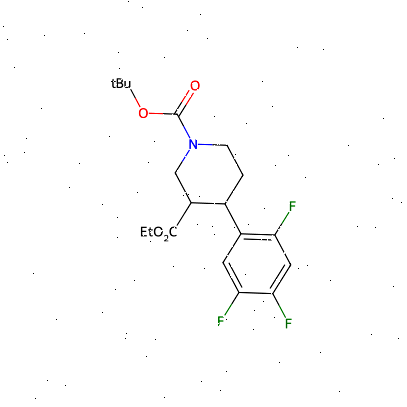 CCOC(=O)C1CN(C(=O)OC(C)(C)C)CCC1c1cc(F)c(F)cc1F